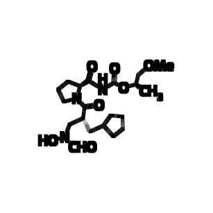 COC[C@@H](C)OC(=O)NC(=O)[C@@H]1CCCN1C(=O)[C@H](CC1CCCC1)CN(O)C=O